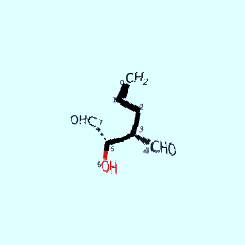 C=CC[C@@H](C=O)[C@H](O)C=O